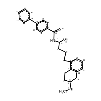 CN[C@H]1CCc2c(CCCC(O)NC(=O)c3ccc(-c4ccccc4)cc3)cccc2C1